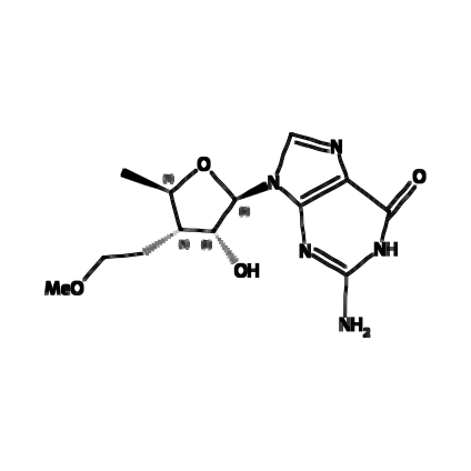 COCC[C@H]1[C@@H](O)[C@H](n2cnc3c(=O)[nH]c(N)nc32)O[C@@H]1C